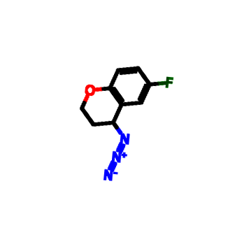 [N-]=[N+]=NC1CCOc2ccc(F)cc21